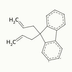 C=CCC1(CC=C)c2c[c][c]cc2-c2ccccc21